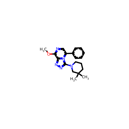 COc1ncc(-c2ccccc2)n2c(N3CCCC(C)(C)C3)nnc12